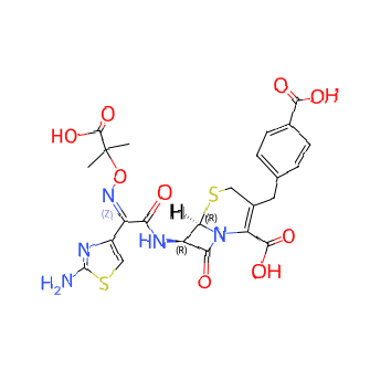 CC(C)(O/N=C(\C(=O)N[C@@H]1C(=O)N2C(C(=O)O)=C(Cc3ccc(C(=O)O)cc3)CS[C@H]12)c1csc(N)n1)C(=O)O